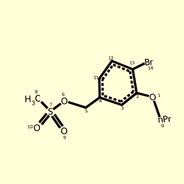 CCCOc1cc(COS(C)(=O)=O)ccc1Br